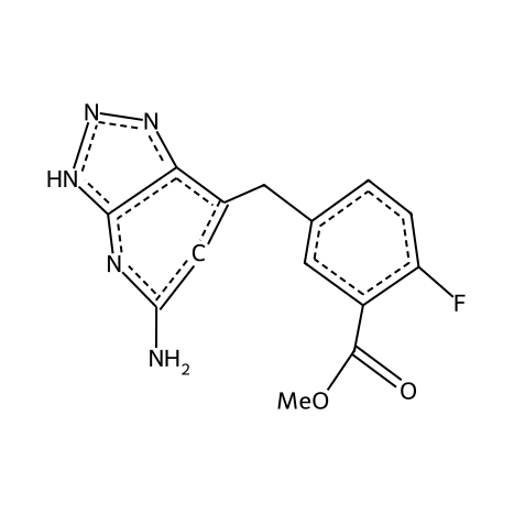 COC(=O)c1cc(Cc2cc(N)nc3[nH]nnc23)ccc1F